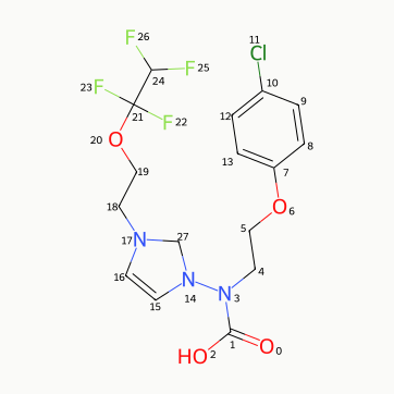 O=C(O)N(CCOc1ccc(Cl)cc1)N1C=CN(CCOC(F)(F)C(F)F)C1